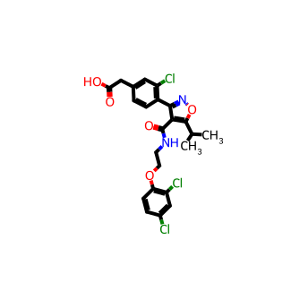 CC(C)c1onc(-c2ccc(CC(=O)O)cc2Cl)c1C(=O)NCCOc1ccc(Cl)cc1Cl